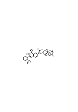 CC1(C)OCC2(CO1)CN(c1ccc3cc(-c4ccccc4C(F)(F)F)[nH]c(=O)c3c1)C(=O)O2